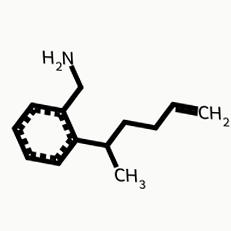 C=CCCC(C)c1ccccc1CN